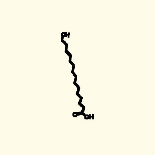 O=C(O)CCCCCCCCCCC=CCCO